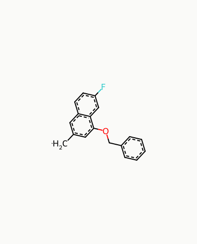 [CH2]c1cc(OCc2ccccc2)c2cc(F)ccc2c1